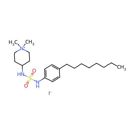 CCCCCCCCc1ccc(NS(=O)(=O)NC2CC[N+](C)(C)CC2)cc1.[I-]